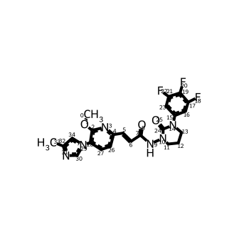 COc1nc(/C=C/C(=O)NN2CCCN(c3cc(F)c(F)c(F)c3)C2=O)ccc1-n1cnc(C)c1